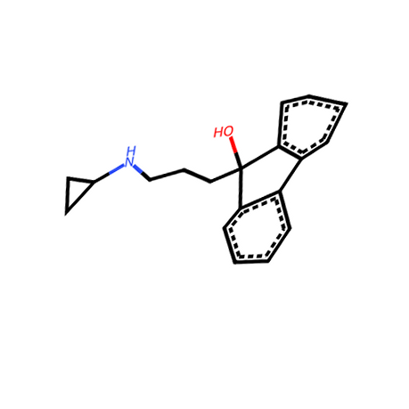 OC1(CCCNC2CC2)c2ccccc2-c2ccccc21